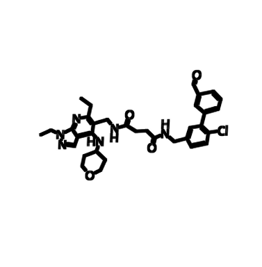 CCc1nc2c(cnn2CC)c(NC2CCOCC2)c1CNC(=O)CCC(=O)NCc1ccc(Cl)c(-c2cccc(C=O)c2)c1